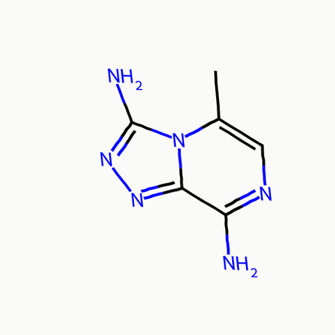 Cc1cnc(N)c2nnc(N)n12